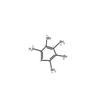 Bc1cc(B)c(C(C)(C)C)c(B)c1C(C)(C)C